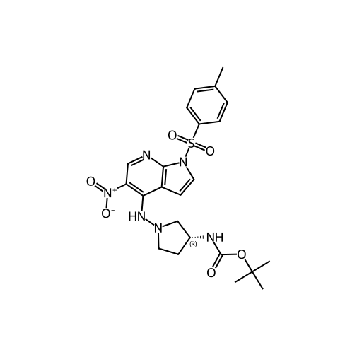 Cc1ccc(S(=O)(=O)n2ccc3c(NN4CC[C@@H](NC(=O)OC(C)(C)C)C4)c([N+](=O)[O-])cnc32)cc1